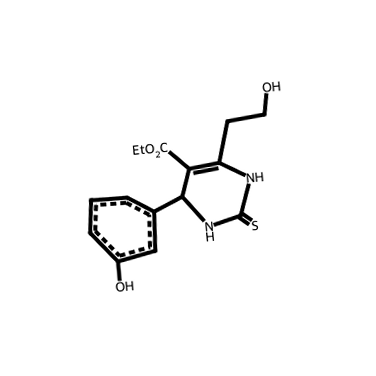 CCOC(=O)C1=C(CCO)NC(=S)NC1c1cccc(O)c1